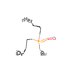 CCCCCCCP(=O)(CC(C)C)C(C)CC